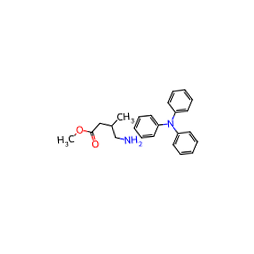 COC(=O)CC(C)CN.c1ccc(N(c2ccccc2)c2ccccc2)cc1